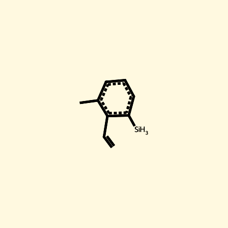 C=Cc1c(C)cccc1[SiH3]